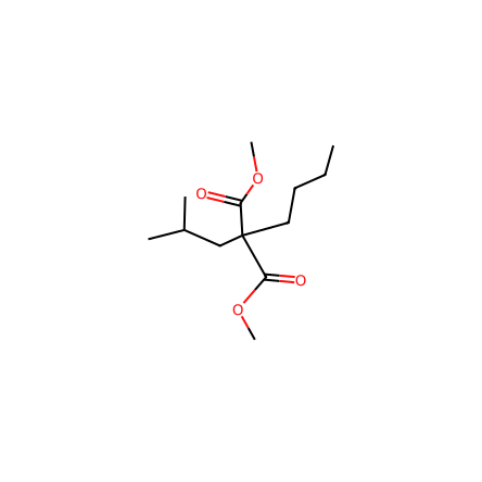 CCCCC(CC(C)C)(C(=O)OC)C(=O)OC